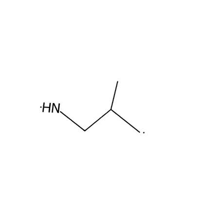 [CH2]C(C)C[NH]